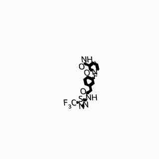 NC(=O)c1cccnc1Oc1ccc(CC(=O)Nc2nnc(C(F)(F)F)s2)cc1F